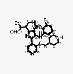 CCC(C=O)C1CNC(=O)c2c1[nH]c(-c1ccncc1OCC1CCNCC1)c2Nc1cccc(F)c1OC